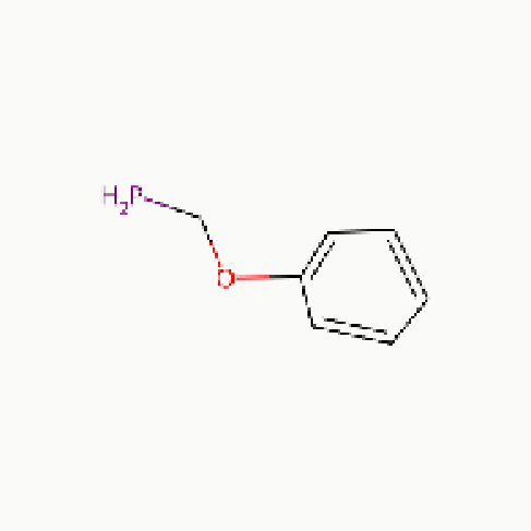 PCOc1ccccc1